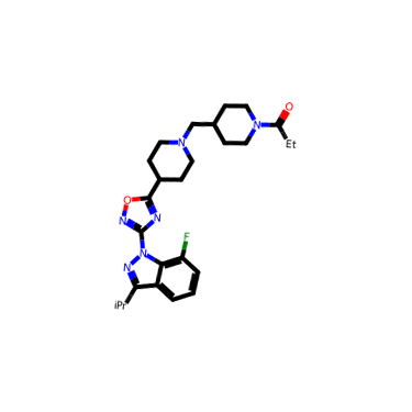 CCC(=O)N1CCC(CN2CCC(c3nc(-n4nc(C(C)C)c5cccc(F)c54)no3)CC2)CC1